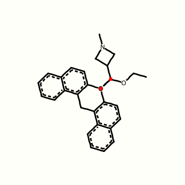 CCOCOc1ccc2ccccc2c1Cc1c(OCC2CN(C)C2)ccc2ccccc12